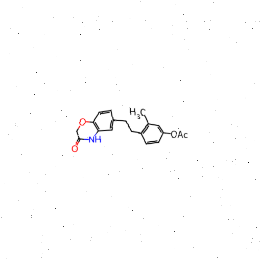 CC(=O)Oc1ccc(CCc2ccc3c(c2)NC(=O)CO3)c(C)c1